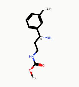 CC(C)(C)OC(=O)NCC[C@@H](N)c1cccc(C(=O)O)c1